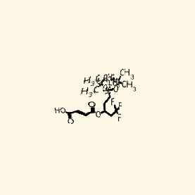 C[Si](C)(C)O[Si](C)(CCC(CC(F)(F)F)OC(=O)/C=C/C(=O)O)O[Si](C)(C)C